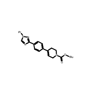 CC(C)n1cnc(-c2ccc(C3=CCN(C(=O)OC(C)(C)C)CC3)cc2)n1